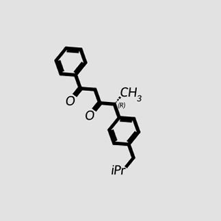 CC(C)Cc1ccc([C@@H](C)C(=O)CC(=O)c2ccccc2)cc1